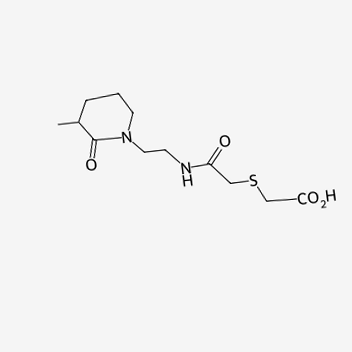 CC1CCCN(CCNC(=O)CSCC(=O)O)C1=O